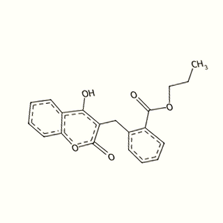 CCCOC(=O)c1ccccc1Cc1c(O)c2ccccc2oc1=O